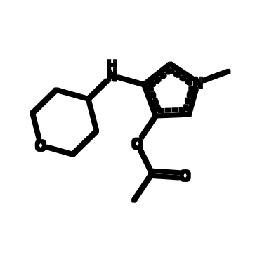 CC(=O)Oc1cn(C)cc1NC1CCOCC1